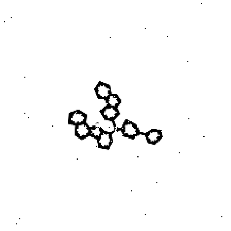 c1ccc(-c2ccc(N(c3ccc4c(ccc5ccccc54)c3)c3cccc4c3oc3c5ccccc5ccc43)cc2)cc1